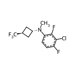 CN(c1ccc(F)c(Cl)c1F)[C@H]1C[C@H](C(F)(F)F)C1